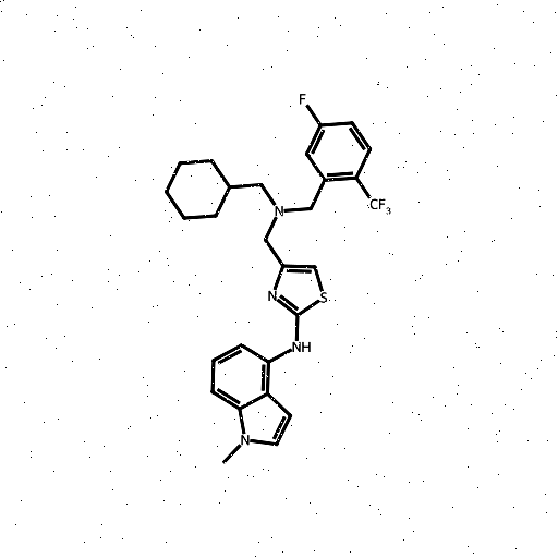 Cn1ccc2c(Nc3nc(CN(Cc4cc(F)ccc4C(F)(F)F)CC4CCCCC4)cs3)cccc21